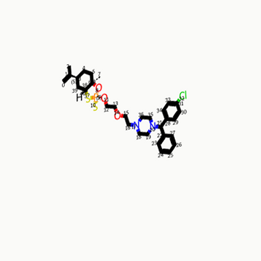 C=C(C)[C@H]1CC[C@@]2(C)O[P@](=S)(OCCOCCN3CCN(C(c4ccccc4)c4ccc(Cl)cc4)CC3)S[C@@H]2C1